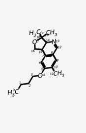 CCCCOc1cc2c(cc1C)C=NC1C2COC1(C)C